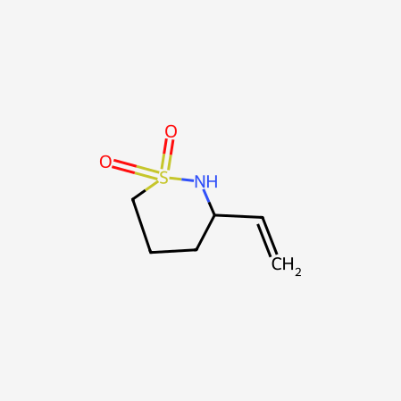 C=CC1CCCS(=O)(=O)N1